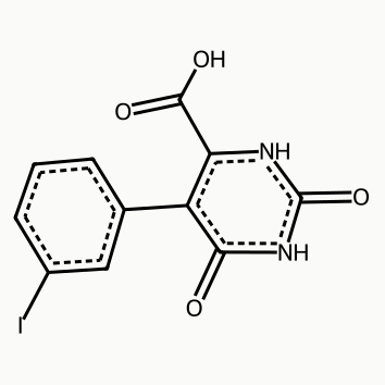 O=C(O)c1[nH]c(=O)[nH]c(=O)c1-c1cccc(I)c1